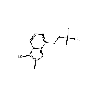 Cc1nc2c(CCC(F)(F)C(F)(F)F)nccn2c1C#N